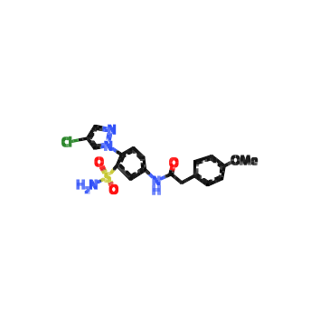 COc1ccc(CC(=O)Nc2ccc(-n3cc(Cl)cn3)c(S(N)(=O)=O)c2)cc1